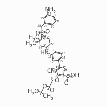 CC(C)OC(=O)COc1c(C(=O)O)sc(-c2cccc(N[C@H]3CCN(S(=O)(=O)Cc4cccc(N)c4)C(C)(C)C3)c2)c1Cl